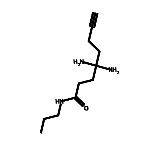 C#CCCC(N)(N)CCC(=O)NCCC